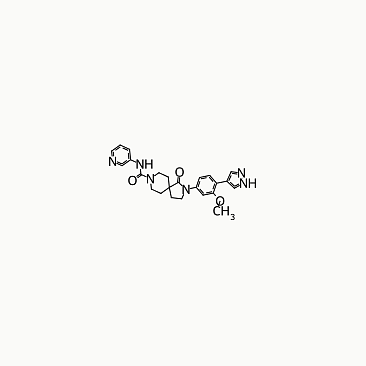 COc1cc(N2CCC3(CCN(C(=O)Nc4cccnc4)CC3)C2=O)ccc1-c1cn[nH]c1